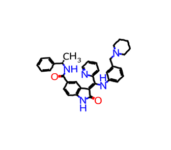 C[C@@H](NC(=O)c1ccc2c(c1)/C(=C(/Nc1cccc(CN3CCCCC3)c1)c1ccccn1)C(=O)N2)c1ccccc1